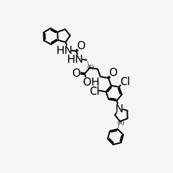 O=C(NC[C@H](CCC(=O)c1c(Cl)cc(N2CC[C@H](c3ccccc3)C2)cc1Cl)C(=O)O)NC1CCc2ccccc21